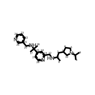 CC(CC1CCN(C(C)C)C1)NCc1cc(C(C)(C)NCc2cccnc2)ccn1